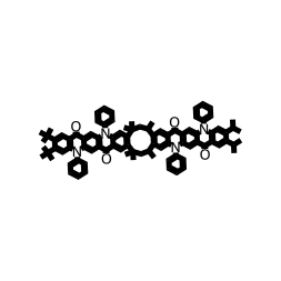 CC(C)c1cc2c(=O)c3cc4c(cc3n(-c3ccccc3)c2cc1C(C)C)c(=O)c1cc2c(cc1n4-c1ccccc1)C(C)CC(C)(C)c1cc3c(=O)c4cc5c(cc4n(-c4ccccc4)c3cc1C(C)(C)CC2C)c(=O)c1cc(C(C)(C)C)c(C(C)(C)C)cc1n5-c1ccccc1